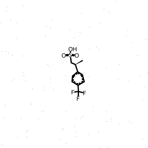 C[C@H](CS(=O)(=O)O)c1ccc(C(F)(F)F)cc1